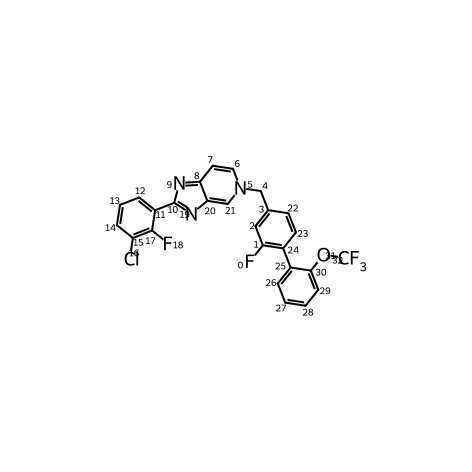 Fc1cc(Cn2ccc3nc(-c4cccc(Cl)c4F)nc-3c2)ccc1-c1ccccc1OC(F)(F)F